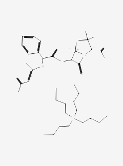 CC(=O)/C=C(\C)NC(C(=O)NC1C(=O)N2[C@@H]1SC(C)(C)[C@@H]2C(=O)[O-])c1ccccc1.CCCC[N+](CCCC)(CCCC)CCCC